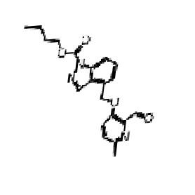 CCCCOC(=O)n1ncc2c(COc3ccc(C)nc3C=O)cccc21